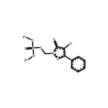 CC(C)OP(=S)(OC(C)C)SCn1oc(-c2ccccc2)c(Cl)c1=O